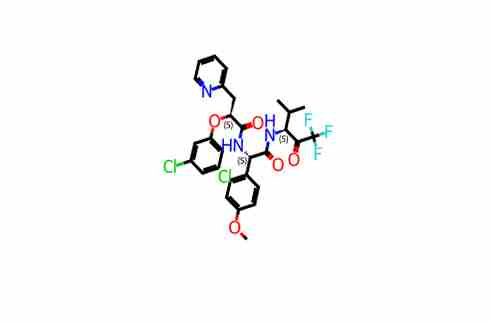 COc1ccc([C@H](NC(=O)[C@H](Cc2ccccn2)Oc2cc(Cl)cc(Cl)c2)C(=O)N[C@H](C(=O)C(F)(F)F)C(C)C)cc1